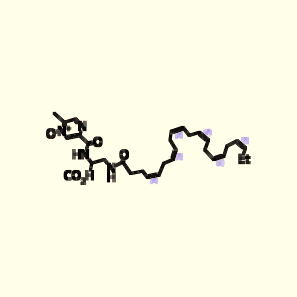 CC/C=C\C/C=C\C/C=C\C/C=C\C/C=C\C/C=C\CCC(=O)NCC(NC(=O)c1c[n+]([O-])c(C)cn1)C(=O)O